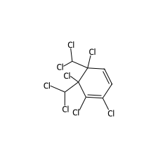 ClC1=C(Cl)C(Cl)(C(Cl)Cl)C(Cl)(C(Cl)Cl)C=C1